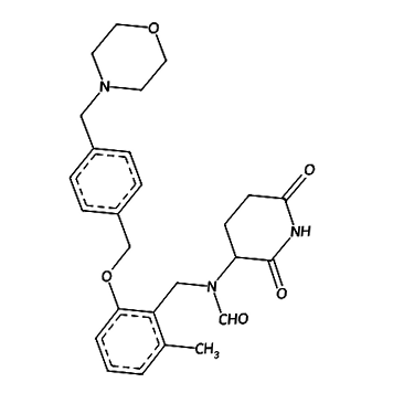 Cc1cccc(OCc2ccc(CN3CCOCC3)cc2)c1CN(C=O)C1CCC(=O)NC1=O